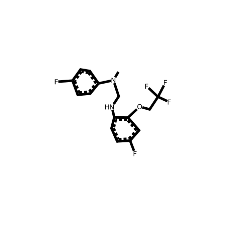 CN(CNc1ccc(F)cc1OCC(F)(F)F)c1ccc(F)cc1